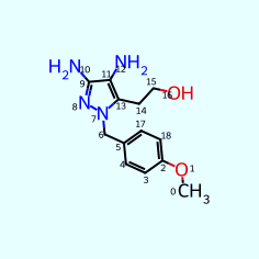 COc1ccc(Cn2nc(N)c(N)c2CCO)cc1